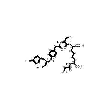 CC(C)CC(NC(=O)Cc1ccc(NC(=C[N+](=O)[O-])Nc2ccc(O)cc2)cc1)C(=O)NC(CCCCC(NC(=O)CC(C)(C)C)C(=O)O)C(=O)O